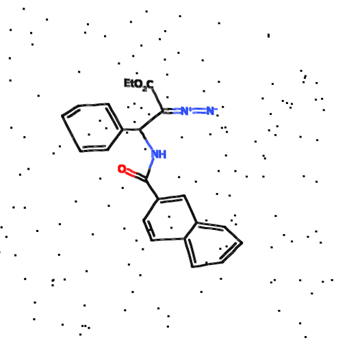 CCOC(=O)C(=[N+]=[N-])C(NC(=O)c1ccc2ccccc2c1)c1ccccc1